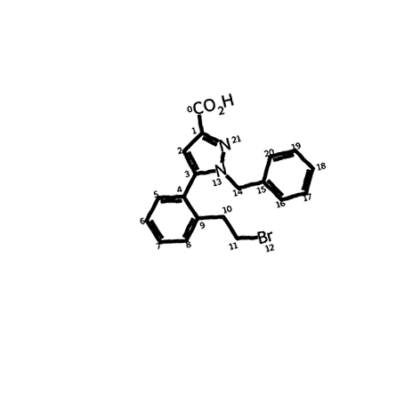 O=C(O)c1cc(-c2ccccc2CCBr)n(Cc2ccccc2)n1